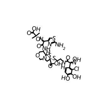 CC(C)(O/N=C(\C(=O)NC1COCN2C[C@](SCCNC(=O)/C(=N\O)c3ccc(O)c(O)c3Cl)(C(=O)O)S[C@H]12)c1csc(N)n1)C(=O)O